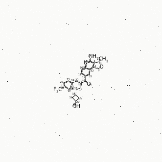 C[C@H]1OCc2c1c(N)nc1ccc(C(=O)N(CC[C@H]3C[C@H](O)C3)Cc3ccc(C(F)(F)F)cn3)cc21